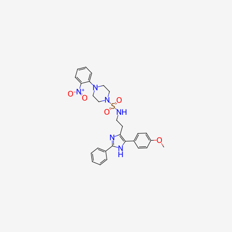 COc1ccc(-c2[nH]c(-c3ccccc3)nc2CCNS(=O)(=O)N2CCN(c3ccccc3[N+](=O)[O-])CC2)cc1